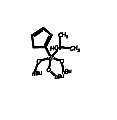 CCCC[O][Zr]([O]CCCC)([O]CCCC)([C]1=CC=CC1)[GeH]([CH3])[CH3]